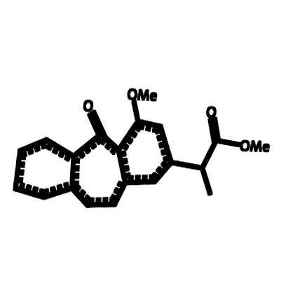 COC(=O)C(C)c1cc(OC)c2c(=O)c3ccccc3ccc2c1